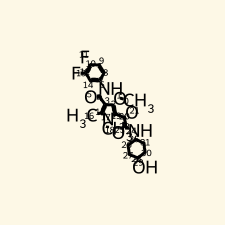 COc1c(C(=O)Nc2ccc(F)c(F)c2)c(C)n(C)c1C(=O)C(=O)N[C@H]1CC[C@@H](O)CC1